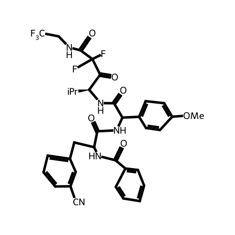 COc1ccc(C(NC(=O)C(Cc2cccc(C#N)c2)NC(=O)c2ccccc2)C(=O)N[C@H](C(=O)C(F)(F)C(=O)NCC(F)(F)F)C(C)C)cc1